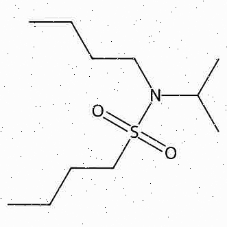 CCCCN(C(C)C)S(=O)(=O)CCCC